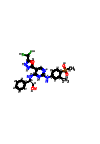 Cc1cc(Nc2ncc(-c3nnc(C(F)F)o3)c(N[C@H](CO)c3ccccc3)n2)ccc1S(C)(=O)=O